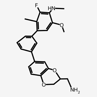 CNc1c(OC)cc(-c2cccc(-c3ccc4c(c3)OC(CN)CO4)c2)c(C)c1F